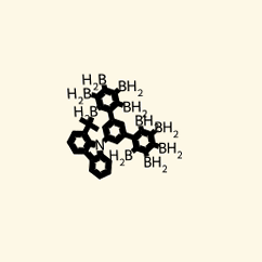 Bc1c(B)c(B)c(-c2cc(-c3c(B)c(B)c(B)c(B)c3B)cc(-n3c4ccccc4c4cccc(C(C)(C)C)c43)c2)c(B)c1B